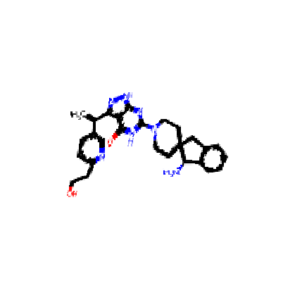 C=C(c1ccc(CCO)nc1)c1n[nH]c2nc(N3CCC4(CC3)Cc3ccccc3[C@H]4N)[nH]c(=O)c12